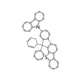 C1=CCC(C2(c3ccccc3)c3cc(-n4c5ccccc5c5ccccc54)ccc3-c3ccc4c(sc5ccccc54)c32)C=C1